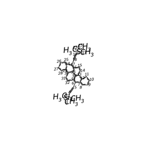 C[Si](C)(C)C#Cc1c2ccccc2c2ccc3c(C#C[Si](C)(C)C)c4ccccc4c4ccc1c2c34